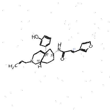 C=CCN1CC[C@@]2(c3cccc(O)c3)C[C@H](NC(=O)/C=C/c3ccoc3)CC[C@@H]2C1